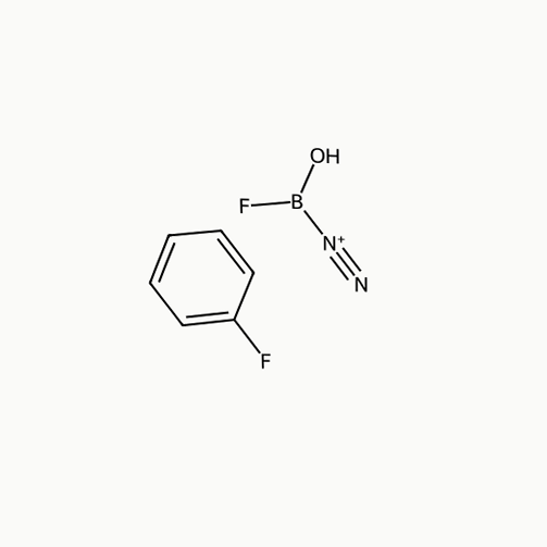 Fc1ccccc1.N#[N+]B(O)F